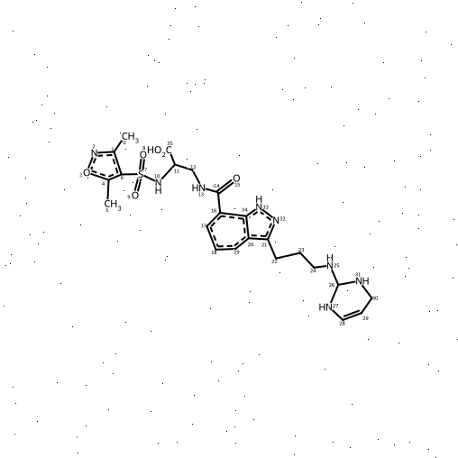 Cc1noc(C)c1S(=O)(=O)NC(CNC(=O)c1cccc2c(CCCNC3NC=CCN3)n[nH]c12)C(=O)O